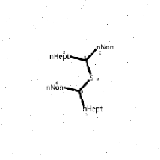 CCCCCCCCCC(CCCCCCC)SC(CCCCCCC)CCCCCCCCC